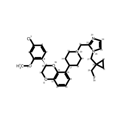 COc1cc(Cl)ccc1[C@H]1COc2cccc(C3CCN(Cc4nccn4CC4(CF)CC4)CC3)c2O1